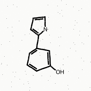 Oc1cccc(C2=CC=C[N]2)c1